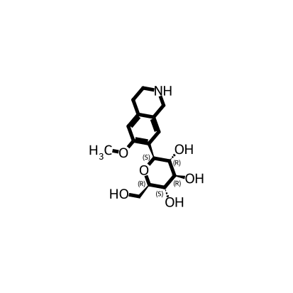 COc1cc2c(cc1[C@@H]1O[C@H](CO)[C@@H](O)[C@H](O)[C@H]1O)CNCC2